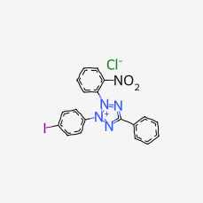 O=[N+]([O-])c1ccccc1-n1nc(-c2ccccc2)n[n+]1-c1ccc(I)cc1.[Cl-]